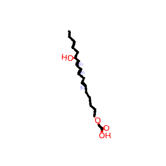 CCCCCC(O)/C=C/C=C/C/C=C/CCCCCOCC(=O)O